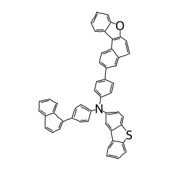 c1ccc2c(-c3ccc(N(c4ccc(-c5ccc6c(ccc7oc8ccccc8c76)c5)cc4)c4ccc5sc6ccccc6c5c4)cc3)cccc2c1